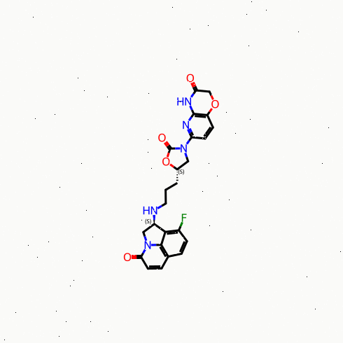 O=C1COc2ccc(N3C[C@H](CCCN[C@@H]4Cn5c(=O)ccc6ccc(F)c4c65)OC3=O)nc2N1